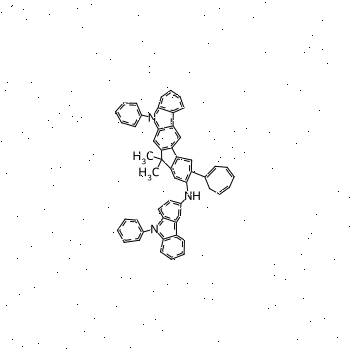 CC1(C)c2cc(Nc3ccc4c(c3)c3ccccc3n4-c3ccccc3)c(C3=CC=CC=CC3)cc2-c2cc3c4ccccc4n(-c4ccccc4)c3cc21